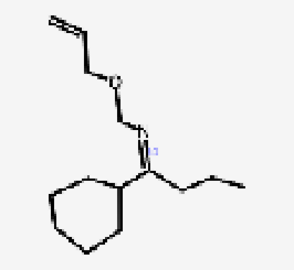 C=CCOC/N=C(/CCC)C1CCCCC1